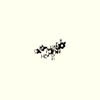 CO[C@@H]1[C@@H](n2cc(-c3ccc(C)c(F)c3F)nn2)[C@@H](O)[C@@H](CO)O[C@@H]1Cc1cn(C2(C)COC2)nn1